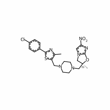 Cc1nc(-c2ccc(Cl)cc2)sc1CN1CCN(C[C@@]2(C)Cn3cc([N+](=O)[O-])nc3O2)CC1